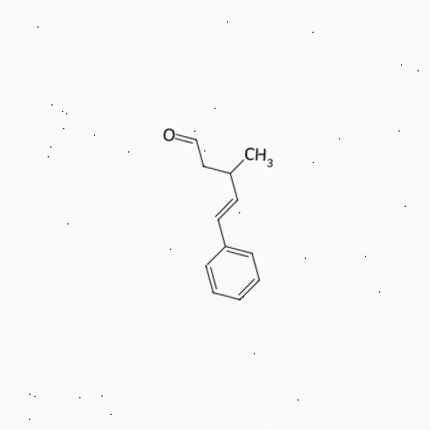 CC(C=Cc1ccccc1)CC=O